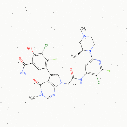 C[C@H]1CN(C)CCN1c1cc(NC(=O)Cn2cc(-c3cc(C(N)=O)c(O)c(Cl)c3F)c3c(=O)n(C)cnc32)c(Cl)c(F)n1